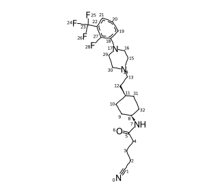 N#CCCCC(=O)N[C@H]1CC[C@@H](CCN2CCN(c3cccc(C(F)(F)F)c3F)CC2)CC1